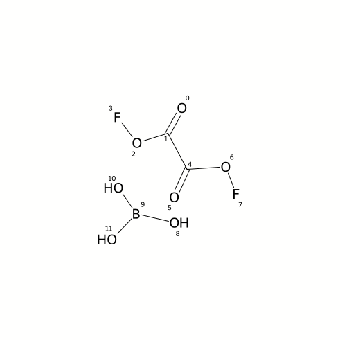 O=C(OF)C(=O)OF.OB(O)O